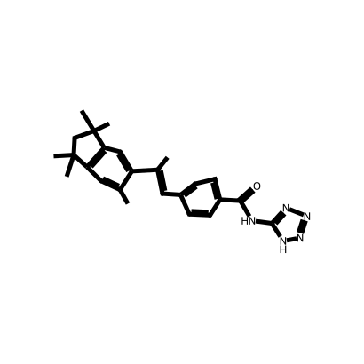 CC(=Cc1ccc(C(=O)Nc2nnn[nH]2)cc1)c1cc2c(cc1C)C(C)(C)CC2(C)C